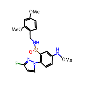 CONc1ccc(-n2ccc(F)n2)c([S+]([O-])NCc2ccc(OC)cc2OC)c1